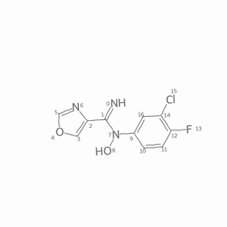 N=C(c1cocn1)N(O)c1ccc(F)c(Cl)c1